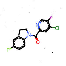 O=C(c1cc(Cl)c(I)cn1)N1CCc2cc(F)ccc21